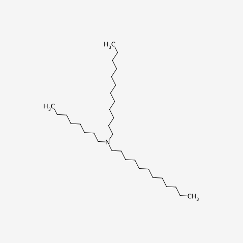 CCCCCCCCCCCCN(CCCCCCCC)CCCCCCCCCCCC